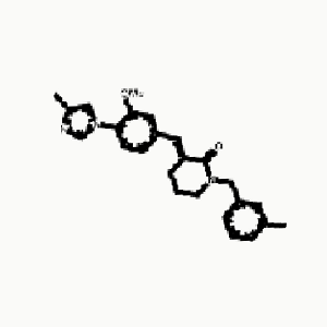 COc1cc(/C=C2\CCCN(Cc3cccc(C)c3)C2=O)ccc1-n1cnc(C)c1